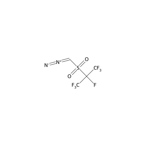 [N-]=[N+]=CS(=O)(=O)C(F)(C(F)(F)F)C(F)(F)F